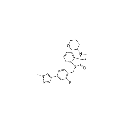 Cn1cc(-c2ccc(CN3C(=O)C4(CCN4C4CCCOC4)c4ccccc43)c(F)c2)cn1